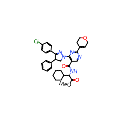 COC(=O)[C@@H](NC(=O)c1cnc(C2=CCOCC2)nc1N1CC(c2ccccc2)C(c2ccc(Cl)cc2)=N1)C1CCCCC1